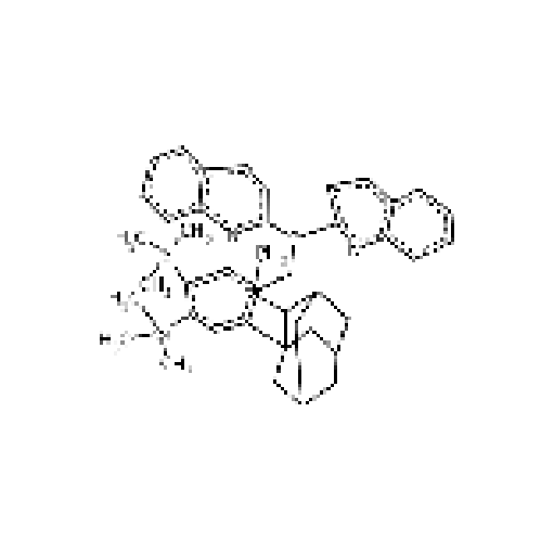 C[Si](C)(C)c1cc(CP(c2ccc3ccccc3n2)c2ccc3ccccc3n2)c(C23CC4CC(CC(C4)C2CP)C3)cc1[Si](C)(C)C